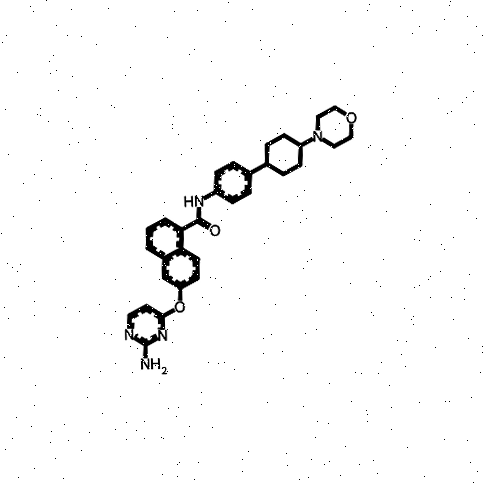 Nc1nccc(Oc2ccc3c(C(=O)Nc4ccc(C5CCC(N6CCOCC6)CC5)cc4)cccc3c2)n1